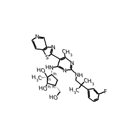 Cc1nc(NCC(C)(C)c2cccc(F)c2)nc(N[C@@H]2C[C@H](CO)[C@@H](O)[C@@]2(C)O)c1-c1nc2cnccc2s1